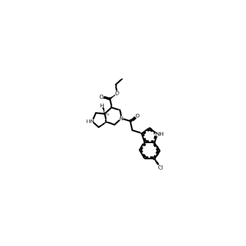 CCOC(=O)C1CN(C(=O)Cc2c[nH]c3cc(Cl)ccc23)CC2CNC[C@@H]21